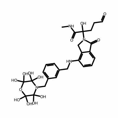 CNC(=O)C(O)(CCC=O)N1Cc2c(NCc3cccc(CN4C(O)(O)C(O)(O)OC(O)(O)C4(O)O)c3)cccc2C1=O